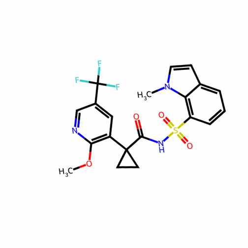 COc1ncc(C(F)(F)F)cc1C1(C(=O)NS(=O)(=O)c2cccc3ccn(C)c23)CC1